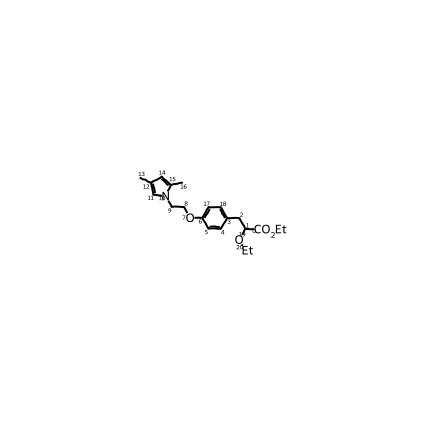 CCOC(=O)C(Cc1ccc(OCCn2cc(C)cc2C)cc1)OCC